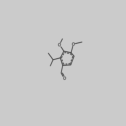 COc1ccc(C=O)c(C(C)C)c1OC